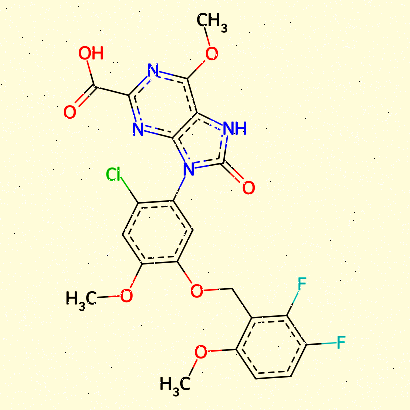 COc1cc(Cl)c(-n2c(=O)[nH]c3c(OC)nc(C(=O)O)nc32)cc1OCc1c(OC)ccc(F)c1F